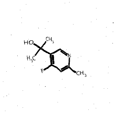 Cc1cc(F)c(C(C)(C)O)cn1